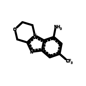 Nc1cc(C(F)(F)F)cc2nc3n(c12)CCOC3